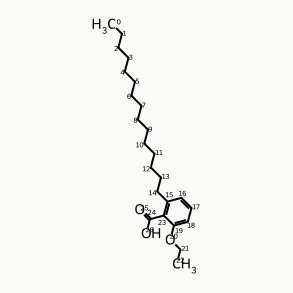 CCCCCCCCCCCCCCCc1cccc(OCC)c1C(=O)O